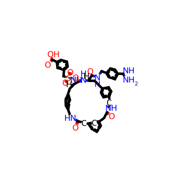 N=C(N)c1ccc(CNC(=O)[C@@H]2Cc3ccc(cc3)CNC(=O)Cc3cccc(c3)CC(=O)NCc3ccc(cc3)C[C@@H](NS(=O)(=O)Cc3cccc(C(=O)O)c3)C(=O)N2)cc1